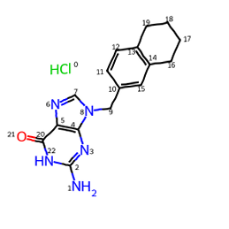 Cl.Nc1nc2c(ncn2Cc2ccc3c(c2)CCCC3)c(=O)[nH]1